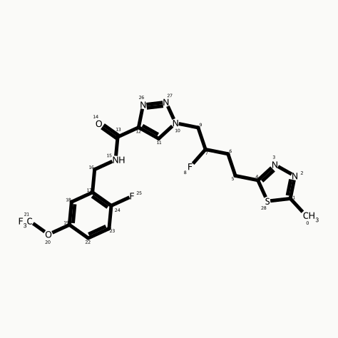 Cc1nnc(CCC(F)Cn2cc(C(=O)NCc3cc(OC(F)(F)F)ccc3F)nn2)s1